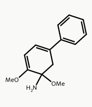 COC1=CC=C(c2ccccc2)CC1(N)OC